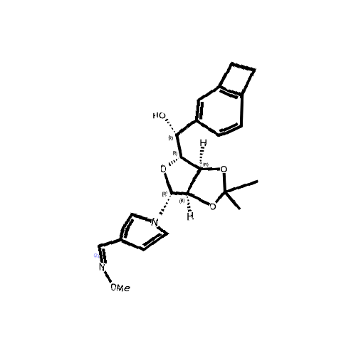 CO/N=C\c1ccn([C@@H]2O[C@H]([C@H](O)c3ccc4c(c3)CC4)[C@H]3OC(C)(C)O[C@H]32)c1